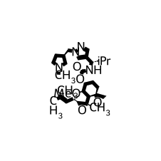 CO[C@@H]1[C@H](OC(=O)N[C@H](c2cnn(C[C@@H]3CCN(C)C3)c2)C(C)C)CC[C@]2(CO2)[C@H]1[C@@]1(C)O[C@@H]1CC=C(C)C